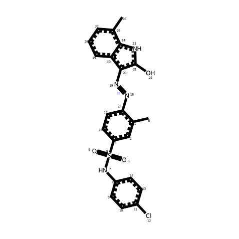 Cc1cc(S(=O)(=O)Nc2ccc(Cl)cc2)ccc1/N=N/c1c(O)[nH]c2c(C)cccc12